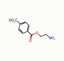 NCCOC(=O)c1ccc(C(=O)O)cc1